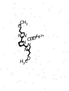 COCCC1=NC(c2cccc(C3=NCC(CCOC)=N3)n2)=NC1.[Cl-].[Cl-].[Cl-].[Fe+3]